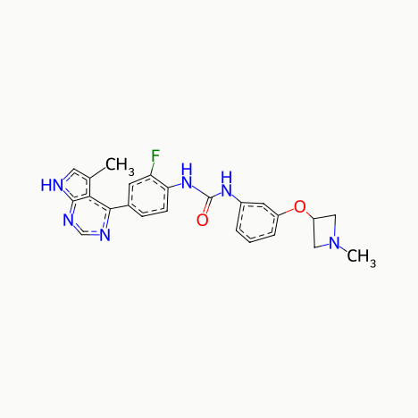 Cc1c[nH]c2ncnc(-c3ccc(NC(=O)Nc4cccc(OC5CN(C)C5)c4)c(F)c3)c12